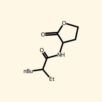 CCCCC(CC)C(=O)NC1CCOC1=O